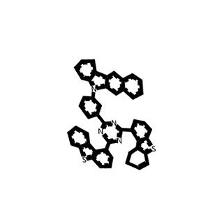 C1=Cc2sc3cccc(-c4nc(-c5cccc(-n6c7ccccc7c7cc8ccccc8cc76)c5)nc(-c5cccc6sc7ccccc7c56)n4)c3c2CC1